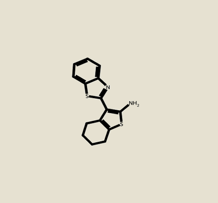 Nc1sc2c(c1-c1nc3ccccc3s1)CCCC2